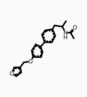 CC(=O)NC(C)Cc1ccc(-c2ccc(OCc3ccoc3)cc2)cc1